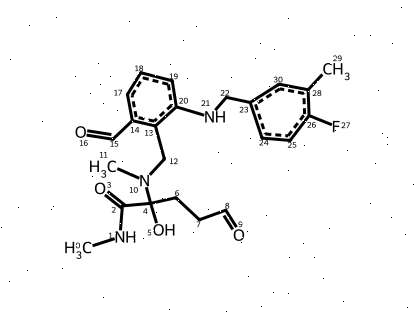 CNC(=O)C(O)(CCC=O)N(C)Cc1c(C=O)cccc1NCc1ccc(F)c(C)c1